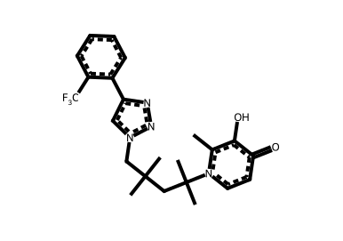 Cc1c(O)c(=O)ccn1C(C)(C)CC(C)(C)Cn1cc(-c2ccccc2C(F)(F)F)nn1